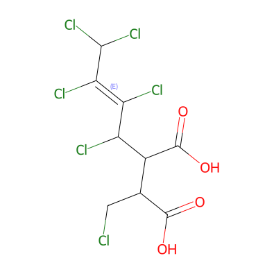 O=C(O)C(CCl)C(C(=O)O)C(Cl)/C(Cl)=C(\Cl)C(Cl)Cl